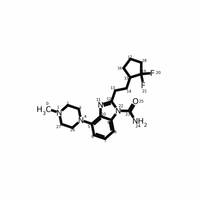 CN1CCN(c2cccc3c2nc(CCC2CCCC2(F)F)n3C(N)=O)CC1